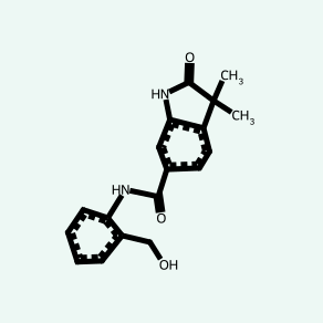 CC1(C)C(=O)Nc2cc(C(=O)Nc3ccccc3CO)ccc21